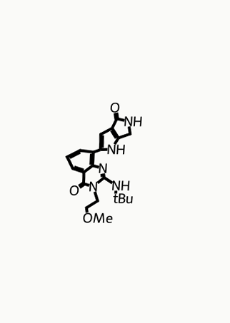 COCCn1c(NC(C)(C)C)nc2c(-c3cc4c([nH]3)CNC4=O)cccc2c1=O